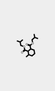 CC(C)COC(=O)C1CCCC(C)C1C(=O)OCC(C)C